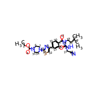 CCOC(=O)N1CCN(c2nc(-c3ccc(C(=O)N(CCC(C)C)C(=O)NCC#N)cc3)cs2)CC1